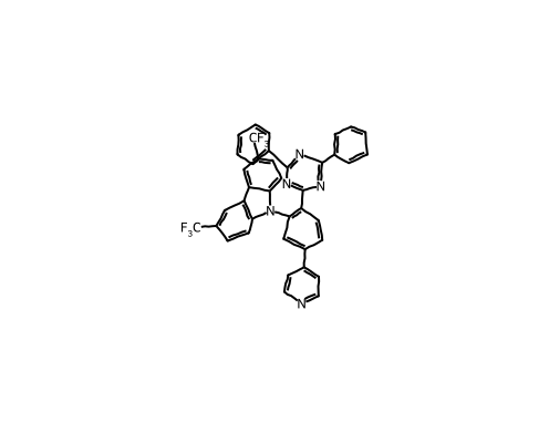 FC(F)(F)c1ccc2c(c1)c1cc(C(F)(F)F)ccc1n2-c1cc(-c2ccncc2)ccc1-c1nc(-c2ccccc2)nc(-c2ccccc2)n1